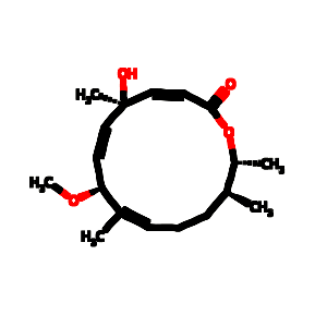 CO[C@H]1C=C[C@@](C)(O)C=CC(=O)O[C@H](C)[C@@H](C)CCC=C1C